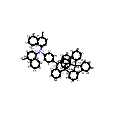 Cc1ccc(N(c2ccc(-c3c4ccccc4c(-c4cccc5c4C(c4ccccc4)(c4ccccc4)c4ccccc4-5)c4ccccc34)cc2)c2ccc(C)c3ccccc23)c2ccccc12